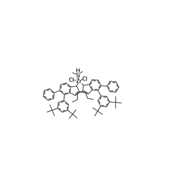 CCCC1=Cc2c(ccc(-c3ccccc3)c2-c2cc(C(C)(C)C)cc(C(C)(C)C)c2)[CH]1[Zr]([Cl])([Cl])([CH]1C(CCC)=Cc2c1ccc(-c1ccccc1)c2-c1cc(C(C)(C)C)cc(C(C)(C)C)c1)[SiH](C)C